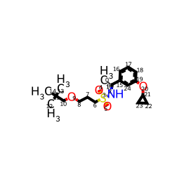 C[C@@H](NS(=O)(=O)CCCOCC(C)(C)C)c1cccc(OC2CC2)c1